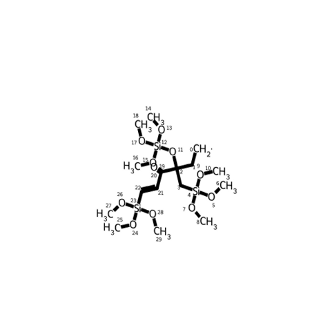 [CH2]CC(C[Si](OC)(OC)OC)(O[Si](OC)(OC)OC)C(=O)C=C[Si](OC)(OC)OC